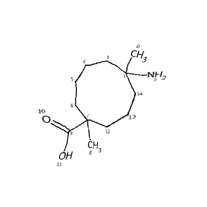 CC1(N)CCCCC(C)(C(=O)O)CCC1